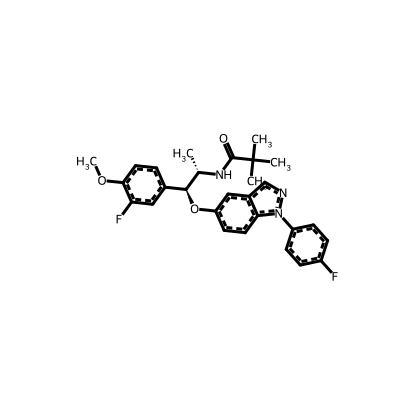 COc1ccc([C@H](Oc2ccc3c(cnn3-c3ccc(F)cc3)c2)[C@H](C)NC(=O)C(C)(C)C)cc1F